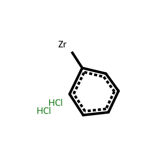 Cc1ccccc1.Cl.Cl.[Zr]